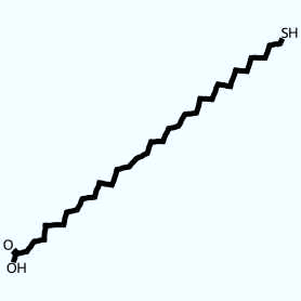 O=C(O)CCCCCCCCCCCCCCCCCCCCCCCCCCCCCCCS